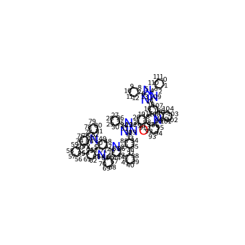 c1ccc(-c2nc(-c3ccccc3)nc(-c3cc4c5ccc(-c6nc(-c7ccccc7)nc(-c7ccc(-c8ccccc8-c8ccc(-c9ccc%10c%11c%12c(c(-c%13ccccc%13)ccc%12n(-c%12ccccc%12)c9%11)c9cccc%11c%12ccccc%12n%10c%119)nc8)cc7)n6)c6oc7cccc(c7c65)n5c6ccccc6c(c3)c45)n2)cc1